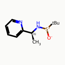 C[C@H](N[S+]([O-])C(C)(C)C)c1ccccn1